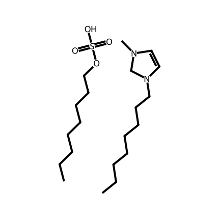 CCCCCCCCN1C=CN(C)C1.CCCCCCCCOS(=O)(=O)O